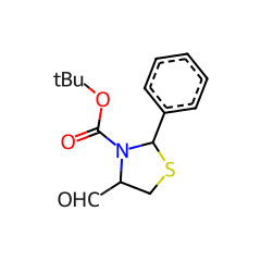 CC(C)(C)OC(=O)N1C(C=O)CSC1c1ccccc1